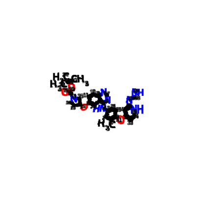 Cc1cc(Nc2ncnc3ccc(OC4CCN(C(=O)OC(C)(C)C)C4)cc23)ccc1Oc1cc[nH]/c(=N\C=N)c1